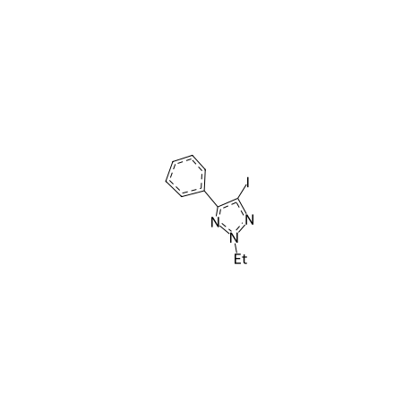 CCn1nc(I)c(-c2ccccc2)n1